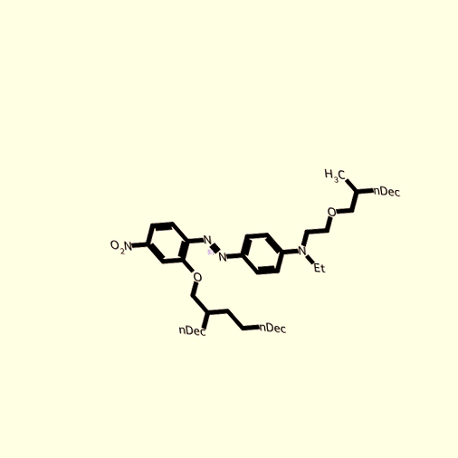 CCCCCCCCCCCCC(CCCCCCCCCC)COc1cc([N+](=O)[O-])ccc1/N=N/c1ccc(N(CC)CCOCC(C)CCCCCCCCCC)cc1